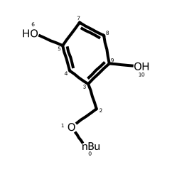 CCCCOCc1cc(O)ccc1O